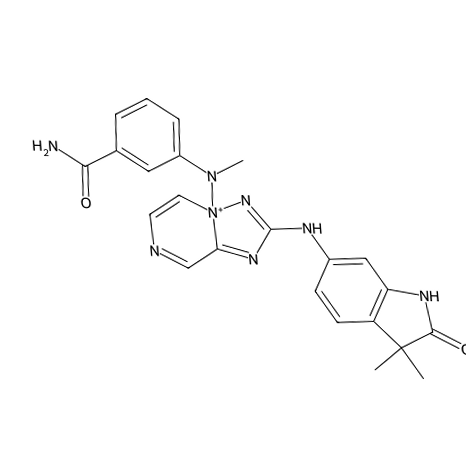 CN(c1cccc(C(N)=O)c1)[N+]12C=CN=CC1=NC(Nc1ccc3c(c1)NC(=O)C3(C)C)=N2